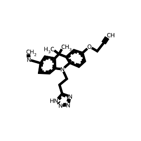 C#CCOc1ccc2c(c1)C(C)(C)c1cc(N=C)ccc1N2CCc1nnn[nH]1